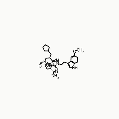 COc1ccc2[nH]cc(CCNC(=O)[N+]3(C(=O)[C@H](CC4CCCC4)CN(O)C=O)CCC[C@H]3C(N)=O)c2c1